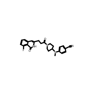 CN(c1ccc(C#N)cc1)C1CCN(C(=O)CCc2cc3cccc(F)c3c(=O)[nH]2)CC1